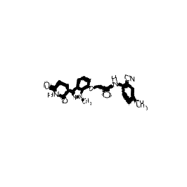 Cc1ccc(NC(=O)COc2cccc3c(C4CCC(=O)NC4=O)nn(C)c23)c(C#N)c1